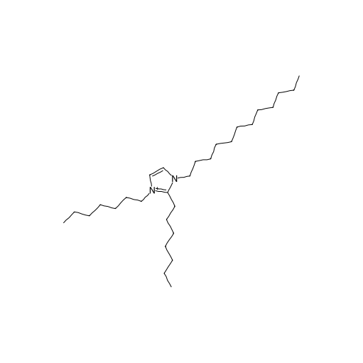 CCCCCCCCCCCCn1cc[n+](CCCCCCC)c1CCCCCCC